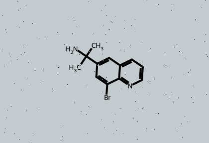 CC(C)(N)c1cc(Br)c2ncccc2c1